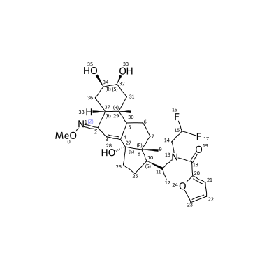 CO/N=C1\C=C2C(CC[C@]3(C)[C@@H](C(C)N(CC(F)F)C(=O)c4ccco4)CC[C@@]23O)[C@@]2(C)C[C@H](O)[C@H](O)C[C@@H]12